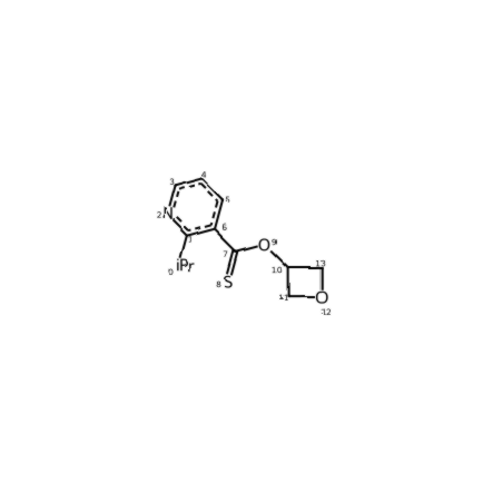 CC(C)c1ncccc1C(=S)OC1COC1